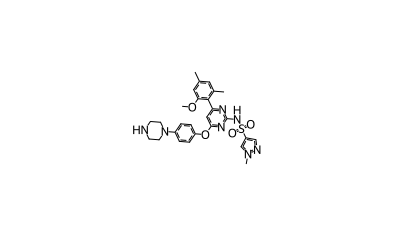 COc1cc(C)cc(C)c1-c1cc(Oc2ccc(N3CCNCC3)cc2)nc(NS(=O)(=O)c2cnn(C)c2)n1